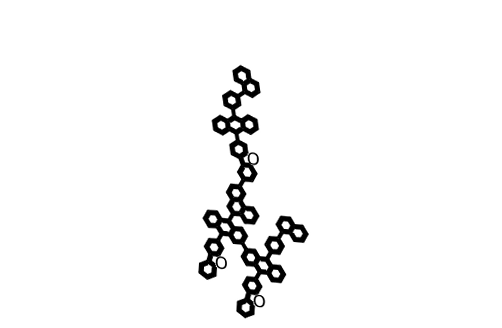 c1cc(-c2cccc3ccccc23)cc(-c2c3ccccc3c(-c3ccc4c(c3)oc3ccc(-c5ccc6cc(-c7c8ccccc8c(-c8ccc9c(c8)oc8ccccc89)c8cc(-c9ccc%10c(-c%11ccc%12c(c%11)oc%11ccccc%11%12)c%11ccccc%11c(-c%11ccc(-c%12cccc%13ccccc%12%13)cc%11)c%10c9)ccc78)c7ccccc7c6c5)cc34)c3ccccc23)c1